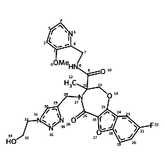 COc1cccnc1CNC(=O)C1(C)COc2c(oc3ccc(F)cc23)C(=O)N1Cc1cn(CCO)nn1